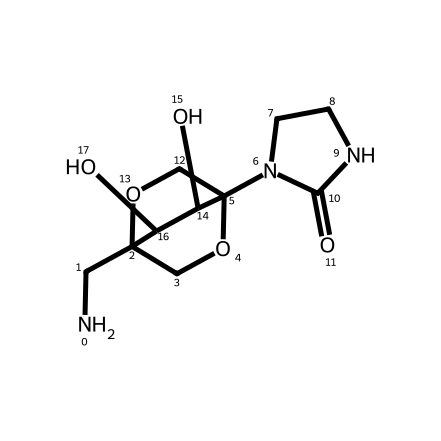 NCC12COC(N3CCNC3=O)(CO1)C(O)C2O